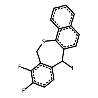 Fc1ccc2c(c1F)CSc1c(ccc3ccccc13)C2I